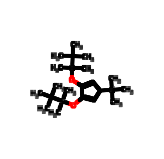 CC(C)(C)[Si](C)(C)OC1=CC([Si](C)(C)C)C=C1O[Si](C)(C)C(C)(C)C